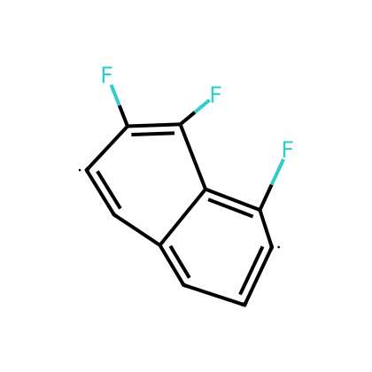 Fc1[c]cc2cc[c]c(F)c2c1F